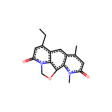 CCc1cc(=O)n2c3c(c4c(cc13)c(C)cc(=O)n4C)OC2